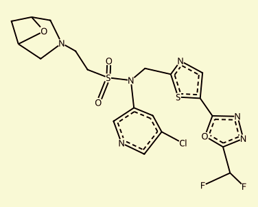 O=S(=O)(CCN1CC2CC(C1)O2)N(Cc1ncc(-c2nnc(C(F)F)o2)s1)c1cncc(Cl)c1